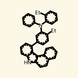 CCc1ccccc1N(c1ccccc1)c1cc(-c2cccc3[nH]c4ccc5ccccc5c4c23)ccc1CC